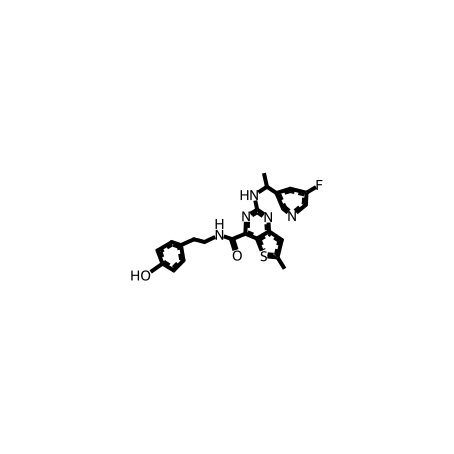 Cc1cc2nc(NC(C)c3cncc(F)c3)nc(C(=O)NCCc3ccc(O)cc3)c2s1